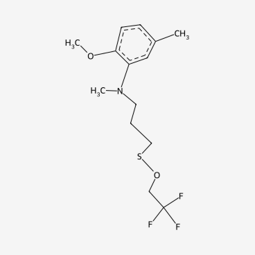 COc1ccc(C)cc1N(C)CCCSOCC(F)(F)F